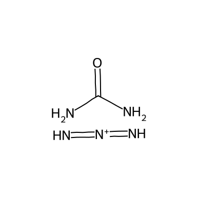 N=[N+]=N.NC(N)=O